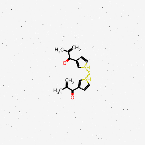 C=C(C)C(=O)C1=C[SH](S[SH]2C=CC(C(=O)C(=C)C)=C2)C=C1